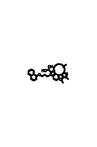 CCc1c2c(nn1C)CN(C)CCCCn1c(C(O)O)c(CCCOc3cccc4ccccc34)c3ccc(Cl)c-2c31